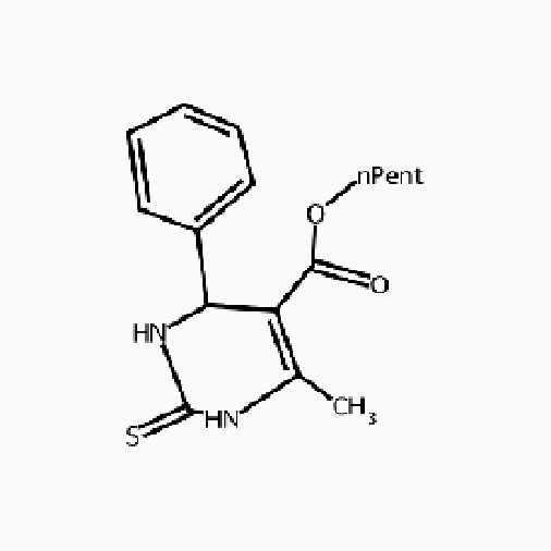 CCCCCOC(=O)C1=C(C)NC(=S)NC1c1ccccc1